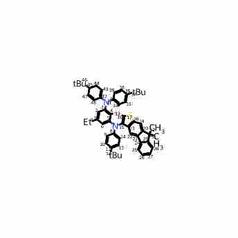 CCc1cc2c3c(c1)N(c1ccc(C(C)(C)C)cc1)c1c(sc4cc5c(cc14)-c1ccccc1C5(C)C)B3c1cc(C(C)(C)C)ccc1N2C1=CCC(C(C)(C)C)C=C1